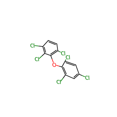 Clc1cc(Cl)c(Oc2c(Cl)ccc(Cl)c2Cl)c(Cl)c1